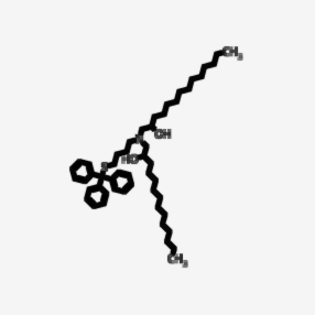 CCCCCCCCCCCCC(O)CN(CCCCSC(c1ccccc1)(c1ccccc1)c1ccccc1)CC(O)CCCCCCCCCCCC